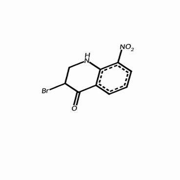 O=C1c2cccc([N+](=O)[O-])c2NCC1Br